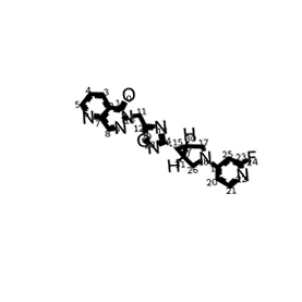 O=c1c2cccnc2cnn1Cc1nc([C@@H]2[C@@H]3CN(c4ccnc(F)c4)C[C@@H]32)no1